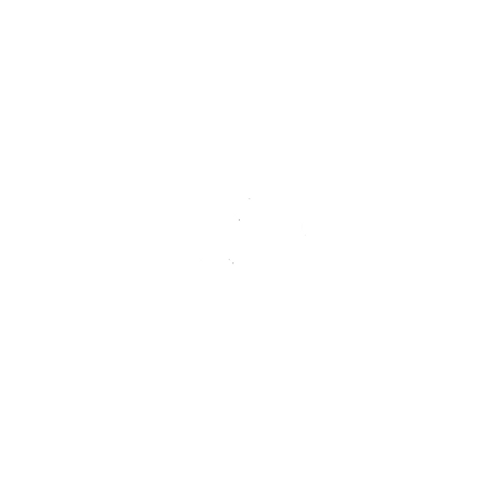 BCC(N(C(C)(C)C)C(C)(C)C)N(C(C)(C)C)C(C)(C)C